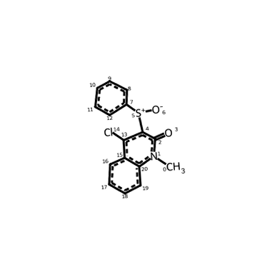 Cn1c(=O)c([S+]([O-])c2ccccc2)c(Cl)c2ccccc21